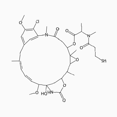 COc1cc2cc(c1Cl)N(C)C(=O)CC(OC(=O)C(C)N(C)C(=O)CCS)C1(C)OC1C(C)C1CC(O)(NC(=O)O1)C(OC)C=CC=C(C)C2